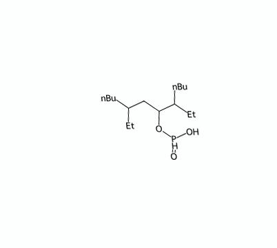 CCCCC(CC)CC(O[PH](=O)O)C(CC)CCCC